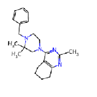 Cc1nc2c(c(N3CCN(Cc4ccccc4)C(C)(C)C3)n1)CCCC2